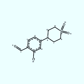 O=Cc1ccc(N2CCS(=O)(=O)CC2)cc1Cl